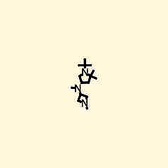 CN1CC(N(C)[C@@H]2CN(C(C)(C)C)C(C)(C)C2)C1